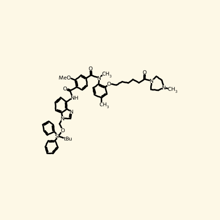 COc1cc(C(=O)N(C)c2ccc(C)cc2OCCCCCC(=O)N2CCN(C)CC2)ccc1C(=O)Nc1cccc2c1ncn2CO[Si](c1ccccc1)(c1ccccc1)C(C)(C)C